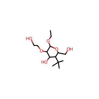 CCOC1OC(CO)C(C(C)(C)C)C(O)C1OCCO